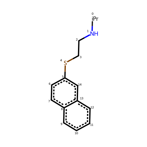 CC(C)NCCSc1ccc2ccccc2c1